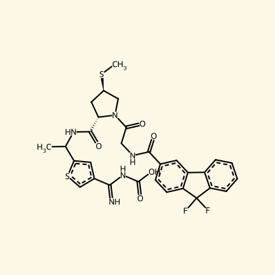 CS[C@@H]1C[C@@H](C(=O)NC(C)c2cc(C(=N)NC(=O)O)cs2)N(C(=O)CNC(=O)c2ccc3c(c2)-c2ccccc2C3(F)F)C1